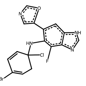 Fc1c(NC2(Cl)C=CC(Br)=CC2)c(-c2cnco2)cc2[nH]cnc12